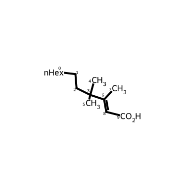 CCCCCCCCC(C)(C)C(C)=CC(=O)O